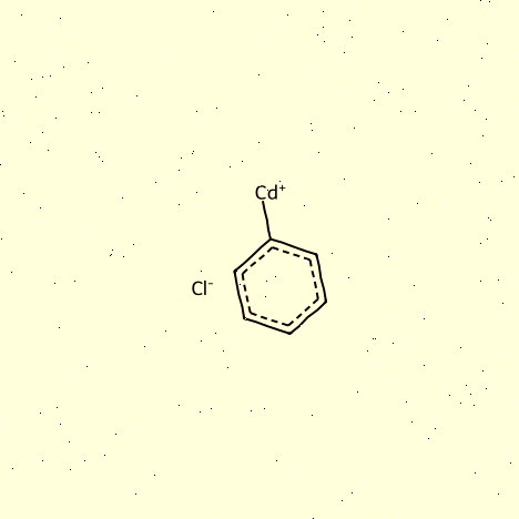 [Cd+][c]1ccccc1.[Cl-]